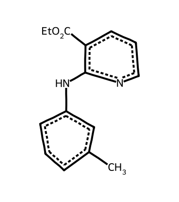 CCOC(=O)c1cccnc1Nc1cccc(C)c1